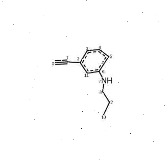 C#Cc1cccc(NCCC)c1